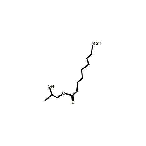 CCCCCCCCCCCCCCCC(=O)OC[C](C)O